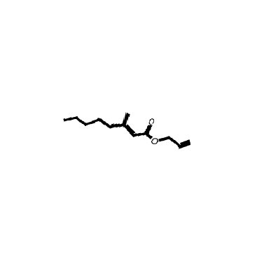 C=CCOC(=O)/C=C(\C)CCCCC